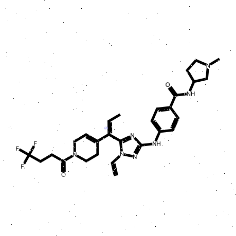 C=Cn1nc(Nc2ccc(C(=O)NC3CCN(C)C3)cc2)nc1/C(=C\C)C1=CCN(C(=O)CCC(F)(F)F)CC1